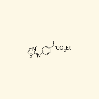 CCOC(=O)C(C)c1ccc(N=c2sccn2C)cc1